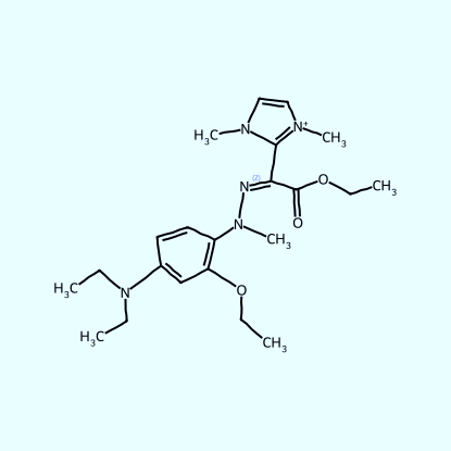 CCOC(=O)/C(=N\N(C)c1ccc(N(CC)CC)cc1OCC)c1n(C)cc[n+]1C